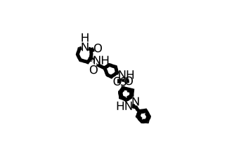 O=C(N[C@H]1CCCCNC1=O)C1CCC(NS(=O)(=O)c2ccc3[nH]c(-c4ccccc4)nc3c2)CC1